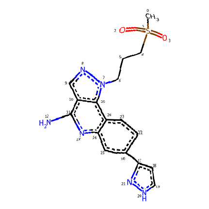 CS(=O)(=O)CCCn1ncc2c(N)nc3cc(-c4cc[nH]n4)ccc3c21